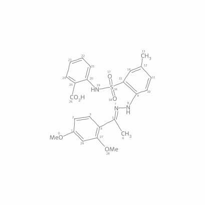 COc1ccc(C(C)=NNc2ccc(C)cc2S(=O)(=O)Nc2ccccc2C(=O)O)c(OC)c1